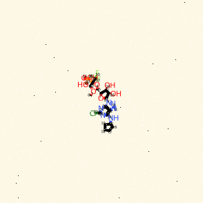 COCC(OC[C@H]1O[C@@H](n2nnc3c(NC4CCCC4)nc(Cl)nc32)[C@H](O)[C@@H]1O)(C(F)(F)F)P(=O)(O)O